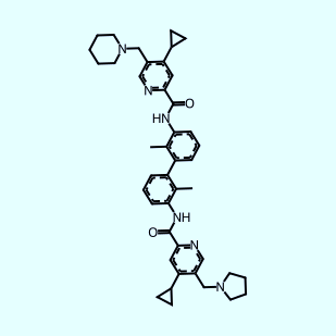 Cc1c(NC(=O)c2cc(C3CC3)c(CN3CCCCC3)cn2)cccc1-c1cccc(NC(=O)c2cc(C3CC3)c(CN3CCCC3)cn2)c1C